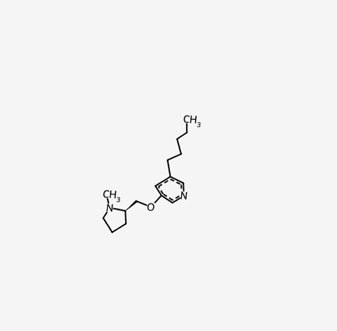 CCCCCc1cncc(OC[C@H]2CCCN2C)c1